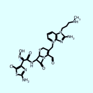 CNCCCn1c(N)nc2c1ccc[n+]2CC1=C(C=O)N2C(=O)C(NC(=O)/C(=N\O)c3nc(N)sc3Cl)C2SC1